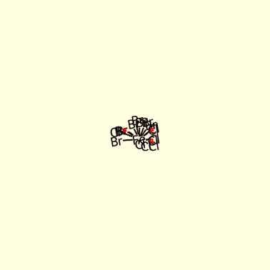 [Cl][Fe]([Cl])([Cl])([Cl])([Cl])([Cl])([Cl])([Cl])([Br])([Br])([Br])([Br])([Br])([Br])([Br])[Br]